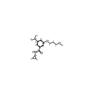 COCCCOc1cc(C(=O)NC2CC2)cc(C(C)C)c1